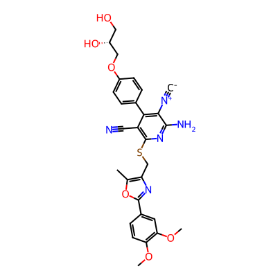 [C-]#[N+]c1c(N)nc(SCc2nc(-c3ccc(OC)c(OC)c3)oc2C)c(C#N)c1-c1ccc(OC[C@H](O)CO)cc1